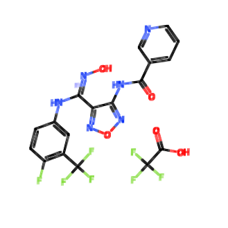 O=C(Nc1nonc1/C(=N\O)Nc1ccc(F)c(C(F)(F)F)c1)c1cccnc1.O=C(O)C(F)(F)F